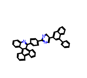 c1ccc(-c2cc(-c3cnc(-c4ccc(-c5nc6ccccc6c6c7ccccc7c7ccccc7c56)cc4)nc3)cc3ccccc23)cc1